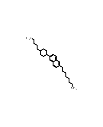 CCCCCCCCc1ccc2cc(C3CCC(CCCCC)CC3)ccc2c1